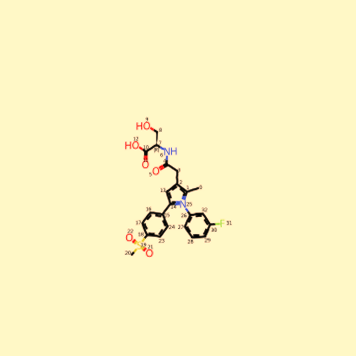 Cc1c(CC(=O)N[C@H](CO)C(=O)O)cc(-c2ccc(S(C)(=O)=O)cc2)n1-c1cccc(F)c1